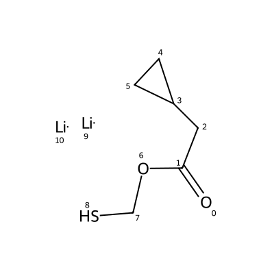 O=C(CC1CC1)OCS.[Li].[Li]